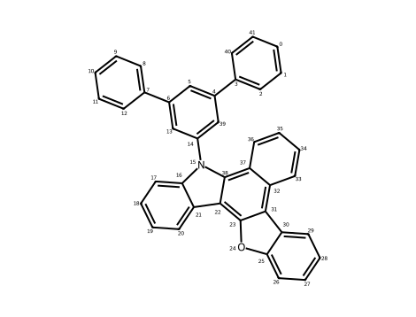 c1ccc(-c2cc(-c3ccccc3)cc(-n3c4ccccc4c4c5oc6ccccc6c5c5ccccc5c43)c2)cc1